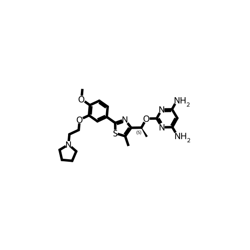 COc1ccc(-c2nc([C@H](C)Oc3nc(N)cc(N)n3)c(C)s2)cc1OCCN1CCCC1